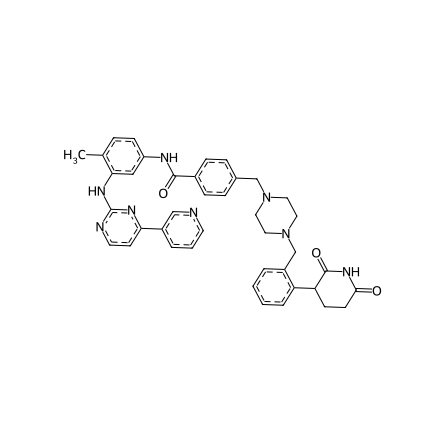 Cc1ccc(NC(=O)c2ccc(CN3CCN(Cc4ccccc4C4CCC(=O)NC4=O)CC3)cc2)cc1Nc1nccc(-c2cccnc2)n1